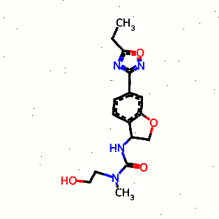 CCc1nc(-c2ccc3c(c2)OCC3NC(=O)N(C)CCO)no1